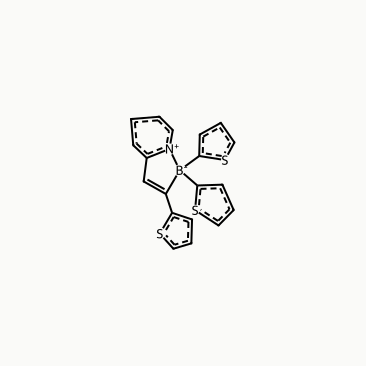 C1=C(c2cccs2)[B-](c2cccs2)(c2cccs2)[n+]2ccccc21